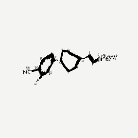 CCCCCC=C[C@H]1CC[C@H](c2ccc(C#N)c(F)c2)CC1